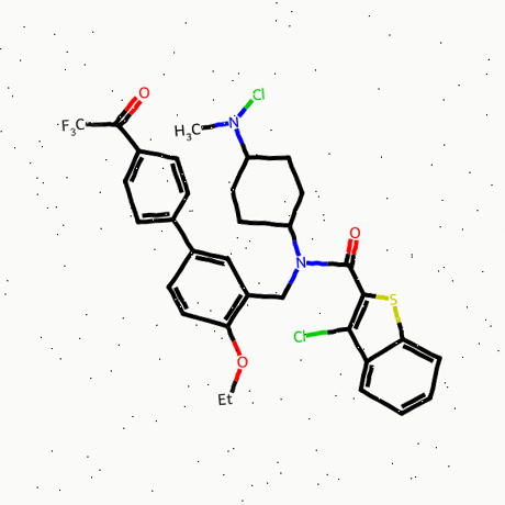 CCOc1ccc(-c2ccc(C(=O)C(F)(F)F)cc2)cc1CN(C(=O)c1sc2ccccc2c1Cl)C1CCC(N(C)Cl)CC1